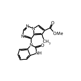 COC(=O)c1cn2ncnc(-n3c(=O)[nH]c4ccccc43)c2c1C